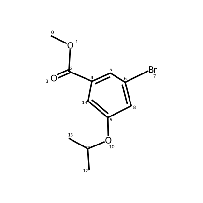 COC(=O)c1cc(Br)cc(OC(C)C)c1